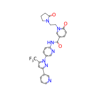 O=C(Nc1ccc(-n2nc(-c3cccnc3)cc2C(F)(F)F)cn1)c1ccc(=O)n(CCN2CCCC2=O)c1